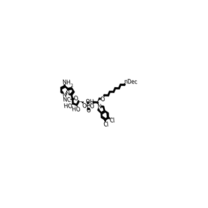 CCCCCCCCCCCCCCCCCCOC[C@H](COP(=O)(O)OC[C@H]1O[C@@](C#N)(c2ccc3c(N)ccnn23)[C@H](O)[C@@H]1O)N1Cc2cc(Cl)c(Cl)cc2C1